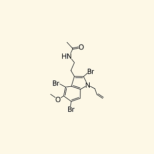 C=CCn1c(Br)c(CCNC(C)=O)c2c(Br)c(OC)c(Br)cc21